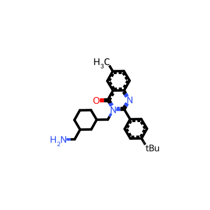 Cc1ccc2nc(-c3ccc(C(C)(C)C)cc3)n(CC3CCCC(CN)C3)c(=O)c2c1